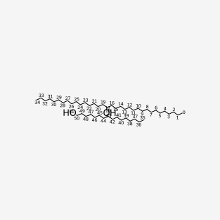 CCCCCCCCCCCCCCCCCC(O)CCCCCCCCCCCCCCCC.CCCCCCCCCCCCCCCCO